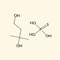 CC(C)(O)CCO.OP(O)(O)=S